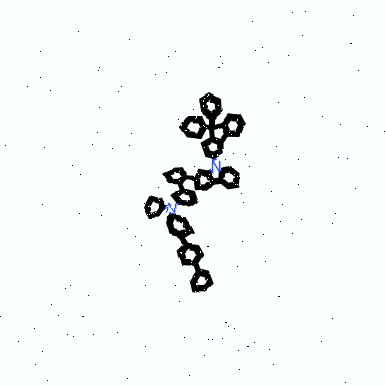 c1ccc(-c2ccc(-c3ccc(N(c4ccccc4)c4cccc(-c5ccccc5-c5ccc6c7ccccc7n(-c7ccc8c(c7)-c7ccccc7C8(c7ccccc7)c7ccccc7)c6c5)c4)cc3)cc2)cc1